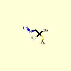 CC(C)(C)C(C)(CN=N)SC#N